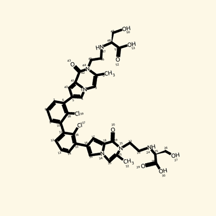 Cc1cn2cc(-c3cccc(-c4cccc(-c5cc6c(=O)n(CCN[C@@H](CO)C(=O)O)c(C)cn6c5)c4Cl)c3Cl)cc2c(=O)n1CCN[C@@H](CO)C(=O)O